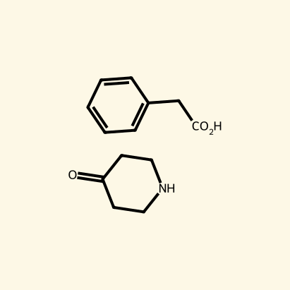 O=C(O)Cc1ccccc1.O=C1CCNCC1